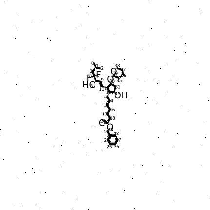 CC(C)CC(F)(F)C(O)C=C[C@@H]1[C@@H](CC=CCCCC(=O)OCc2ccccc2)[C@@H](O)C[C@H]1OC1CCCCO1